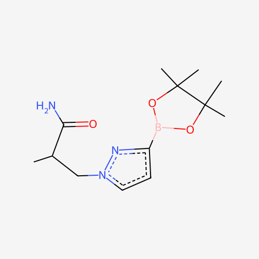 CC(Cn1ccc(B2OC(C)(C)C(C)(C)O2)n1)C(N)=O